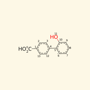 O=C(O)c1ccc(-c2[c]cccc2O)cc1